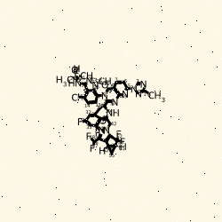 Cc1ncn(-c2ccc3c(=O)n(-c4ccc(Cl)c5c(N[SH](C)(C)=O)nn(C)c45)c([C@H](Cc4cc(F)cc(F)c4)NC(=O)Cn4nc(C(F)F)c5c4C(F)(F)[C@@H]4C[C@H]54)nc3n2)n1